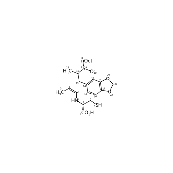 C/C=C\N[C@@H](CS)C(=O)O.CCCCCCCC[S+]([O-])C(C)Cc1ccc2c(c1)OCO2